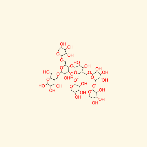 OC[C@@H]1OC(O)C(O)[C@@H](O)C1CO[C@@H]1OC(CO[C@H]2OC[C@@H](O)C(O)C2O)[C@@H](O[C@@H]2O[C@@H](CO[C@H]3OC[C@H](O)C(O)C3O)C(CO[C@@H]3OC(CO[C@H]4OC[C@@H](O)C(O)C4O)[C@@H](O)C(O)C3O)[C@H](O)C2O)C(O)C1O